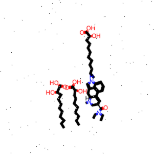 CCCCCCCCC(O)C(=O)O.CCCCCCCCCC(O)C(=O)O.CCCCCCCCCCC(O)C(=O)O.CCN(CC)C(=O)[C@@H]1C=C2c3cccc4[nH]cc(c34)C[C@H]2N(C)C1